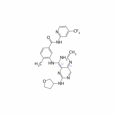 C=C/N=C1/C=NC(NC2CCOC2)=N/C1=C(/N)Nc1cc(C(=O)Nc2cc(C(F)(F)F)ccn2)ccc1C